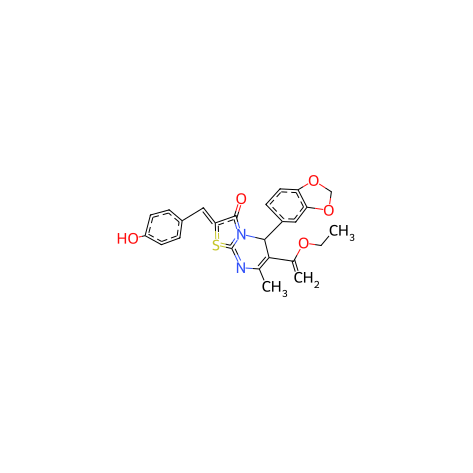 C=C(OCC)C1=C(C)N=c2s/c(=C\c3ccc(O)cc3)c(=O)n2C1c1ccc2c(c1)OCO2